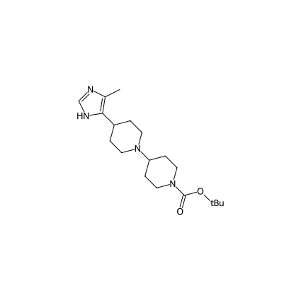 Cc1nc[nH]c1C1CCN(C2CCN(C(=O)OC(C)(C)C)CC2)CC1